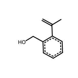 C=C(C)c1ccccc1CO